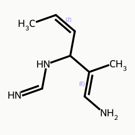 C/C=C\C(NC=N)/C(C)=C/N